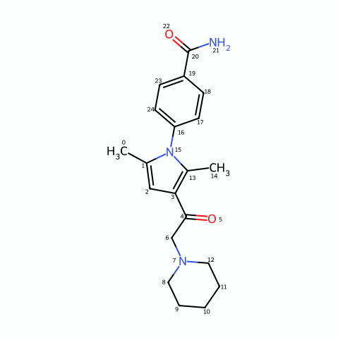 Cc1cc(C(=O)CN2CCCCC2)c(C)n1-c1ccc(C(N)=O)cc1